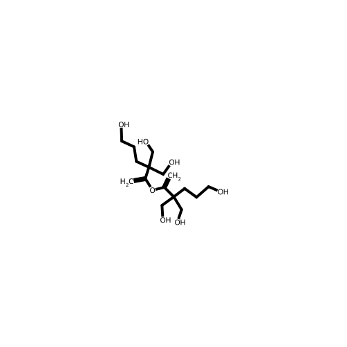 C=C(OC(=C)C(CO)(CO)CCCO)C(CO)(CO)CCCO